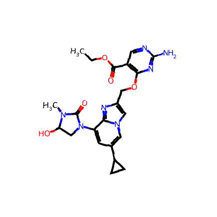 CCOC(=O)c1cnc(N)nc1OCc1cn2cc(C3CC3)cc(N3CC(O)N(C)C3=O)c2n1